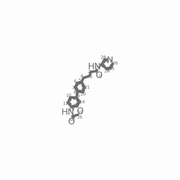 O=C(CCCc1ccc(-c2ccc3c(c2)OCC(=O)N3)cc1)Nc1cccnc1